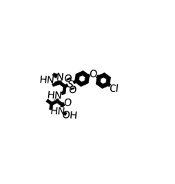 CC(C)[C@@H](NCC(c1c[nH]cn1)S(=O)(=O)c1ccc(Oc2ccc(Cl)cc2)cc1)C(=O)NO